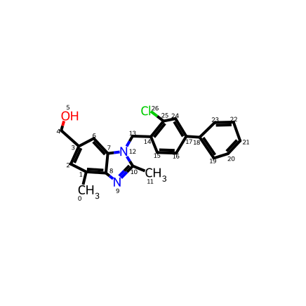 Cc1cc(CO)cc2c1nc(C)n2Cc1ccc(-c2ccccc2)cc1Cl